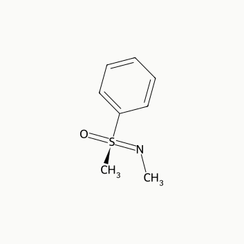 CN=[S@](C)(=O)c1ccccc1